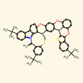 C=C1c2cc(C(C)(C)C)ccc2SCB2c3cc4c(cc3Oc3ccc5c6cc(C(C)(C)C)ccc6n1c5c32)Oc1cccc2c1B4c1sc3ccc(C(C)(C)C)cc3c1O2